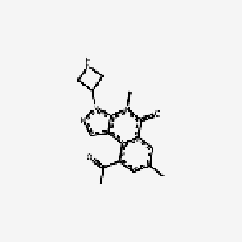 CC(=O)c1cc(C)cc2c(=O)n(C)c3c(cnn3C3CNC3)c12